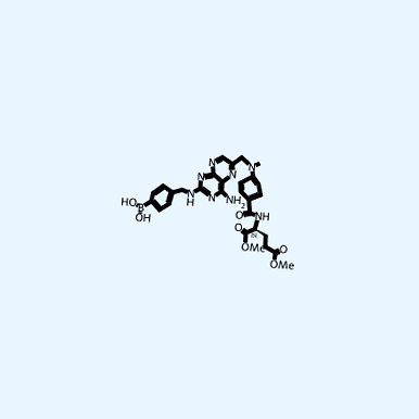 COC(=O)CC[C@H](NC(=O)c1ccc(N(C)Cc2cnc3nc(NCc4ccc(B(O)O)cc4)nc(N)c3n2)cc1)C(=O)OC